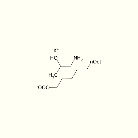 CC(O)CN.CCCCCCCCCCCCCC(=O)[O-].[K+]